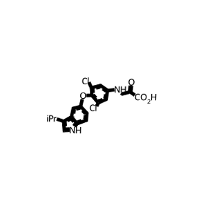 CC(C)c1c[nH]c2ccc(Oc3c(Cl)cc(NCC(=O)C(=O)O)cc3Cl)cc12